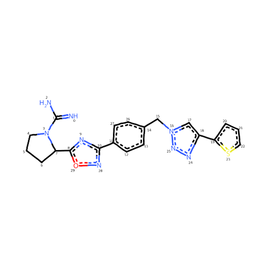 N=C(N)N1CCCC1c1nc(-c2ccc(Cn3cc(-c4cccs4)nn3)cc2)no1